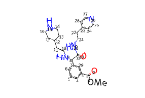 COC(=O)c1cccc(C(NCCC2CCNCC2)C(=O)NCCc2ccncc2)c1